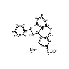 O=C([O-])c1ccc2c(c1)OCc1ccccc1C2SCc1cccnc1.[Na+]